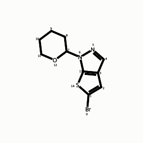 Brc1cc2cnn(C3CCCCO3)c2s1